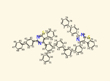 c1ccc(-c2ccc(-c3nc(-c4cccc(-c5cccc(-c6cccc(-c7cc(-c8ccccc8)cc(-c8nc(-c9ccc(-c%10ccccc%10)cc9)nc9sc%10ccccc%10c89)c7)c6)c5)c4)c4c(n3)sc3ccccc34)cc2)cc1